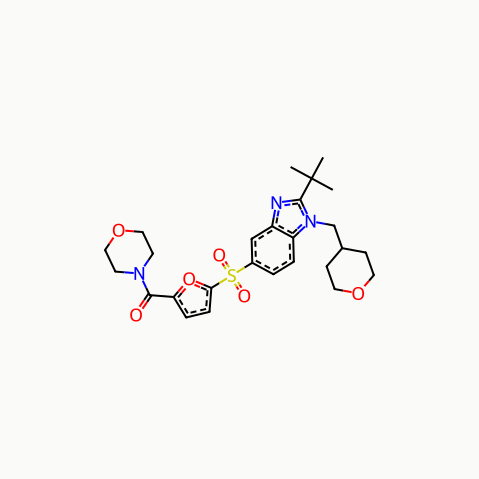 CC(C)(C)c1nc2cc(S(=O)(=O)c3ccc(C(=O)N4CCOCC4)o3)ccc2n1CC1CCOCC1